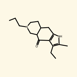 CCCN1CCC2Cc3[nH]c(C)c(CC)c3C(=O)C2C1